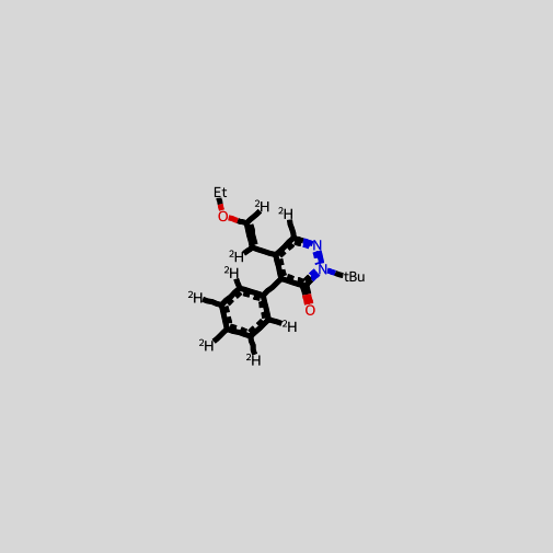 [2H]C(OCC)=C([2H])c1c([2H])nn(C(C)(C)C)c(=O)c1-c1c([2H])c([2H])c([2H])c([2H])c1[2H]